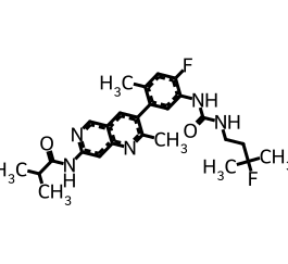 Cc1cc(F)c(NC(=O)NCCC(C)(C)F)cc1-c1cc2cnc(NC(=O)C(C)C)cc2nc1C